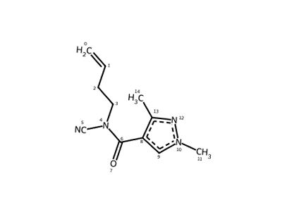 C=CCCN(C#N)C(=O)c1cn(C)nc1C